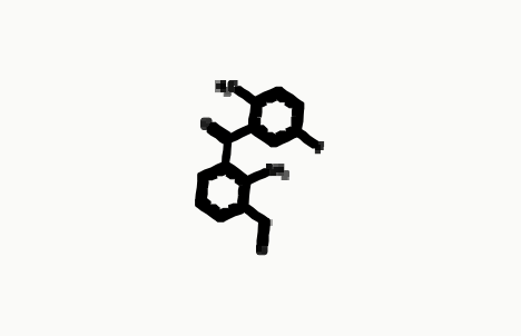 Cc1ccc(F)cc1C(=O)c1cccc([C]=O)c1N